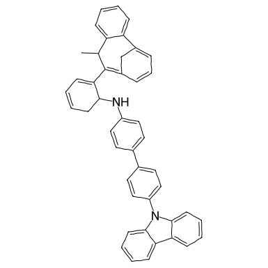 CC1C(C2=CC=CCC2Nc2ccc(-c3ccc(-n4c5ccccc5c5ccccc54)cc3)cc2)=C2C=CC=C(C2)c2ccccc21